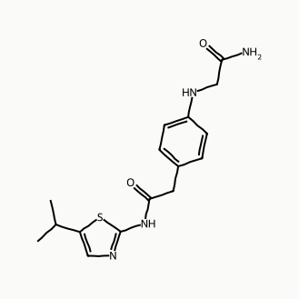 CC(C)c1cnc(NC(=O)Cc2ccc(NCC(N)=O)cc2)s1